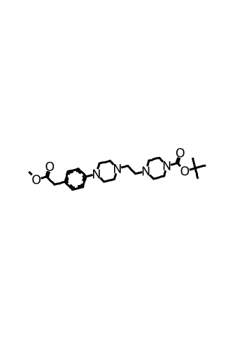 COC(=O)Cc1ccc(N2CCN(CCN3CCN(C(=O)OC(C)(C)C)CC3)CC2)cc1